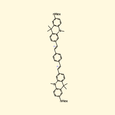 CCCCCCc1ccc2c(c1)C(C)(C)c1ccc(/C=C/c3ccc(/C=C/c4ccc5c(c4)N(C)c4ccc(CCCCCC)cc4C5(C)C)cc3)cc1N2C